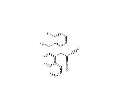 CCc1c(Br)cccc1[C](C(=C=O)C#N)c1cccc2ccccc12